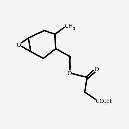 CCOC(=O)CC(=O)OCC1CC2OC2CC1C